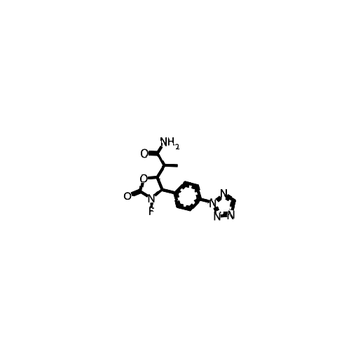 CC(C(N)=O)C1OC(=O)N(F)C1c1ccc(-n2ncnn2)cc1